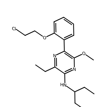 CCc1nc(-c2ccccc2OCCCl)c(OC)nc1NC(CC)CC